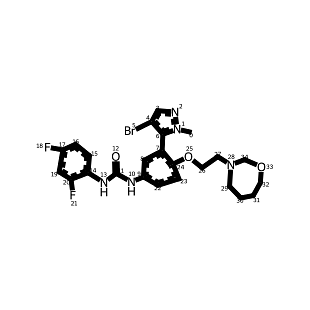 Cn1ncc(Br)c1-c1cc(NC(=O)Nc2ccc(F)cc2F)ccc1OCCN1CCCCOC1